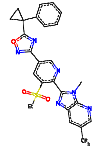 CCS(=O)(=O)c1cc(-c2noc(C3(c4ccccc4)CC3)n2)cnc1-c1nc2cc(C(F)(F)F)cnc2n1C